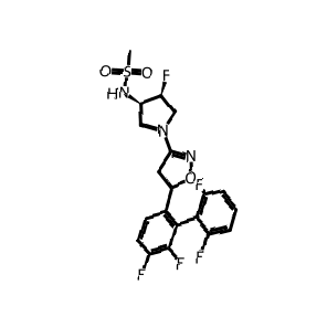 CS(=O)(=O)N[C@@H]1CN(C2=NOC(c3ccc(F)c(F)c3-c3c(F)cccc3F)C2)C[C@@H]1F